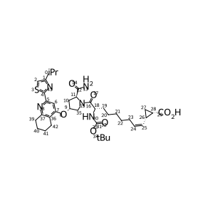 CC(C)c1csc(-c2cc(O[C@@H]3C[C@@H](C(N)=O)N(C(=O)[C@H](CCCCC/C=C\[C@@H]4C[C@@H]4C(=O)O)NC(=O)OC(C)(C)C)C3)c3c(n2)CCCC3)n1